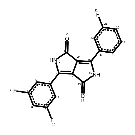 O=C1NC(c2cc(F)cc(F)c2)=C2C(=O)NC(c3cccc(F)c3)=C12